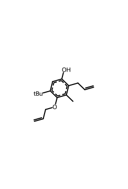 C=CCOc1c(C(C)(C)C)cc(O)c(CC=C)c1C